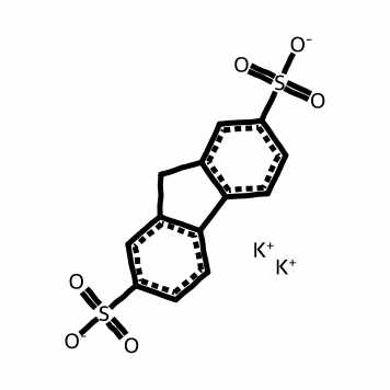 O=S(=O)([O-])c1ccc2c(c1)Cc1cc(S(=O)(=O)[O-])ccc1-2.[K+].[K+]